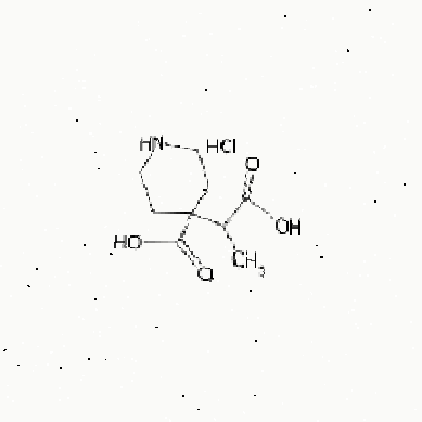 CC(C(=O)O)C1(C(=O)O)CCNCC1.Cl